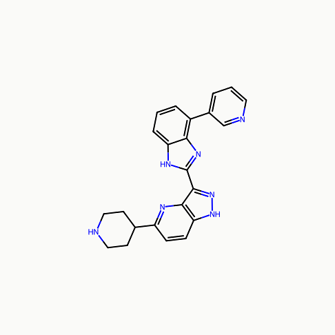 c1cncc(-c2cccc3[nH]c(-c4n[nH]c5ccc(C6CCNCC6)nc45)nc23)c1